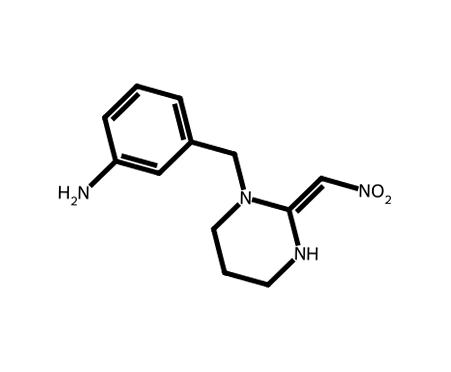 Nc1cccc(CN2CCCNC2=C[N+](=O)[O-])c1